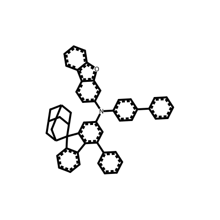 c1ccc(-c2ccc(N(c3cc(-c4ccccc4)c4c(c3)C3(c5ccccc5-4)C4CC5CC(C4)CC3C5)c3ccc4c(c3)oc3ccccc34)cc2)cc1